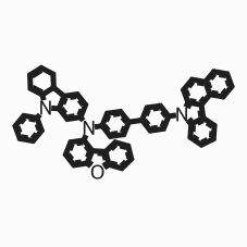 C1=CCC2C(=C1)N(c1ccccc1)c1cc(N(c3ccc(-c4ccc(-n5c6ccccc6c6c7ccccc7ccc65)cc4)cc3)c3cccc4oc5ccccc5c34)ccc12